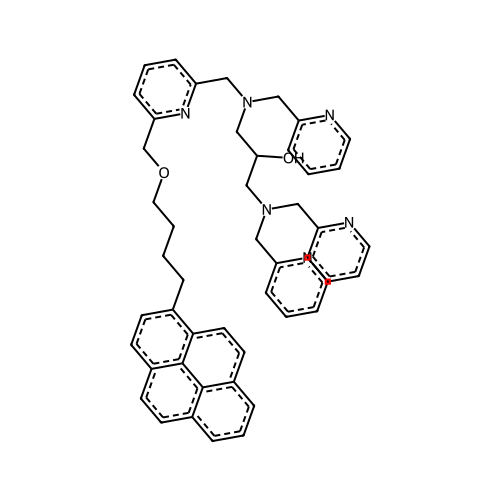 OC(CN(Cc1ccccn1)Cc1ccccn1)CN(Cc1ccccn1)Cc1cccc(COCCCCc2ccc3ccc4cccc5ccc2c3c45)n1